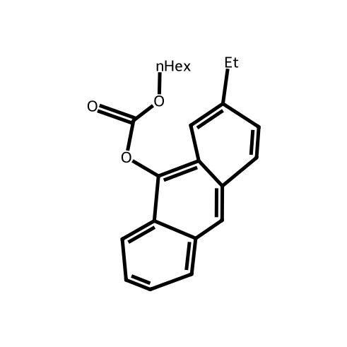 CCCCCCOC(=O)Oc1c2ccccc2cc2ccc(CC)cc12